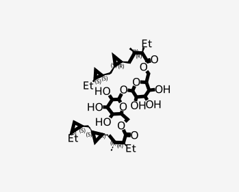 CC[C@H]1C[C@H]1C[C@H]1C[C@H]1C[C@@H](C)[C@@H](CC)C(=O)OCC1OC(OC2OC(COC(=O)[C@H](CC)[C@H](C)C[C@@H]3C[C@@H]3C[C@@H]3C[C@@H]3CC)C(O)C(O)C2O)C(O)C(O)C1O